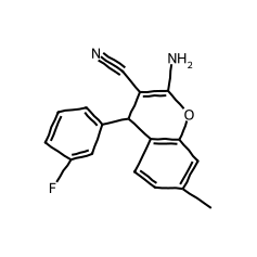 Cc1ccc2c(c1)OC(N)=C(C#N)C2c1cccc(F)c1